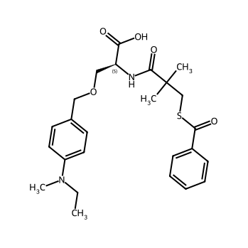 CCN(C)c1ccc(COC[C@H](NC(=O)C(C)(C)CSC(=O)c2ccccc2)C(=O)O)cc1